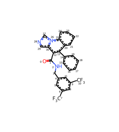 O=C(NCc1cc(C(F)(F)F)cc(C(F)(F)F)c1)c1c(-c2ccccc2)c2ccccc2n2cncc12